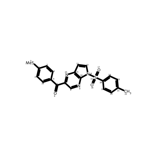 CSc1ccc(C(=O)c2cnc3c(ccn3S(=O)(=O)c3ccc(C)cc3)n2)cc1